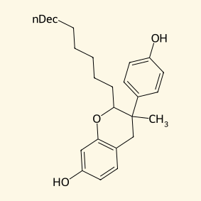 CCCCCCCCCCCCCCCC1Oc2cc(O)ccc2CC1(C)c1ccc(O)cc1